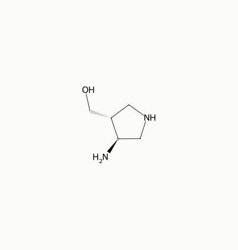 N[C@@H]1CNC[C@H]1CO